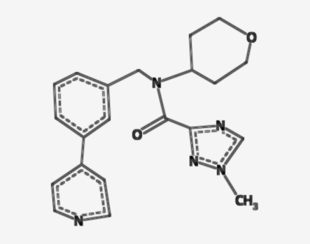 Cn1cnc(C(=O)N(Cc2cccc(-c3ccncc3)c2)C2CCOCC2)n1